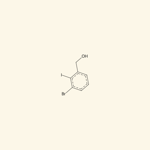 OCc1cccc(Br)c1I